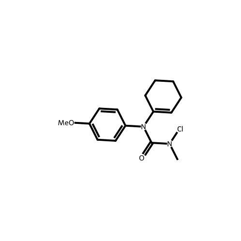 COc1ccc(N(C(=O)N(C)Cl)C2=CCCCC2)cc1